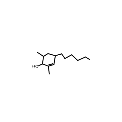 CCCCCCC1C=C(C)C(O)C(C)C1